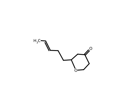 CC=CCCC1CC(=O)CCO1